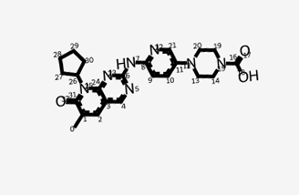 Cc1cc2cnc(Nc3ccc(N4CCN(C(=O)O)CC4)cn3)nc2n(C2CCCC2)c1=O